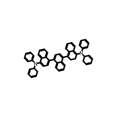 C1=CCC(N(C2=c3ccccc3=C(c3ccc(-c4ccc(N(c5ccccc5)C5C=CC=CC5)c5ccccc45)c4ccccc34)CC2)c2ccccc2)C=C1